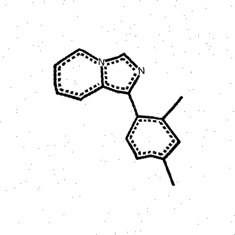 Cc1ccc(-c2ncn3ccccc23)c(C)c1